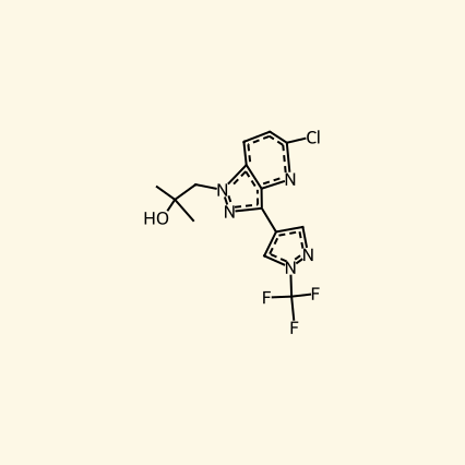 CC(C)(O)Cn1nc(-c2cnn(C(F)(F)F)c2)c2nc(Cl)ccc21